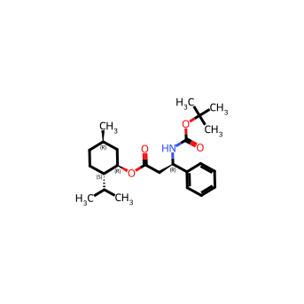 CC(C)[C@@H]1CC[C@@H](C)C[C@H]1OC(=O)C[C@@H](NC(=O)OC(C)(C)C)c1ccccc1